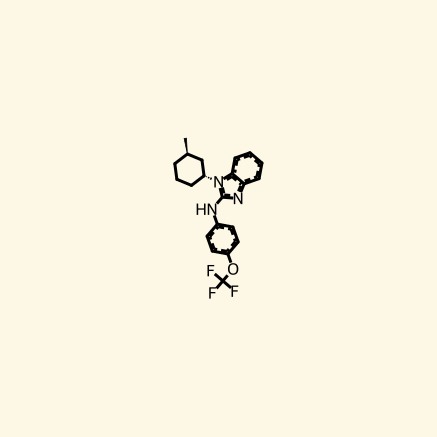 C[C@@H]1CCC[C@@H](n2c(Nc3ccc(OC(F)(F)F)cc3)nc3ccccc32)C1